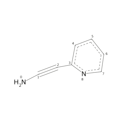 NC#Cc1ccccn1